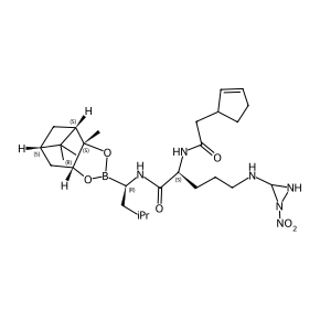 CC(C)C[C@H](NC(=O)[C@H](CCCNC1NN1[N+](=O)[O-])NC(=O)CC1C=CCC1)B1O[C@@H]2C[C@@H]3C[C@@H](C3(C)C)[C@]2(C)O1